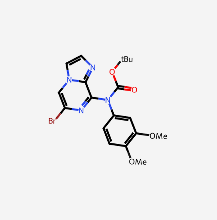 COc1ccc(N(C(=O)OC(C)(C)C)c2nc(Br)cn3ccnc23)cc1OC